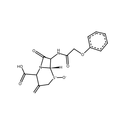 C=C1C[S+]([O-])[C@H]2C(NC(=O)COc3ccccc3)C(=O)N2C1C(=O)O